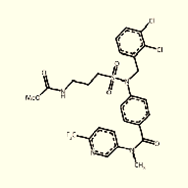 COC(=O)NCCCS(=O)(=O)N(Cc1cccc(Cl)c1Cl)c1ccc(C(=O)N(C)c2ccc(C(F)(F)F)nc2)cc1